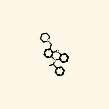 CC(c1ccccc1)N1c2ccccc2Oc2c(CN3CCCCC3)cccc21